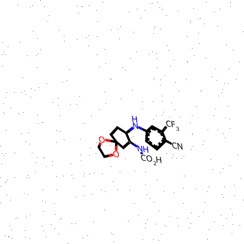 N#Cc1ccc(NC2CCC3(CC2NC(=O)O)OCCO3)cc1C(F)(F)F